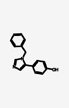 Oc1ccc(-c2cncn2Cc2ccccc2)cc1